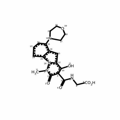 Cn1c(=O)c(C(=O)NCC(=O)O)c(O)c2cc3c(N4CCOCC4)cccc3n21